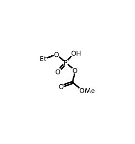 CCOP(=O)(O)OC(=O)OC